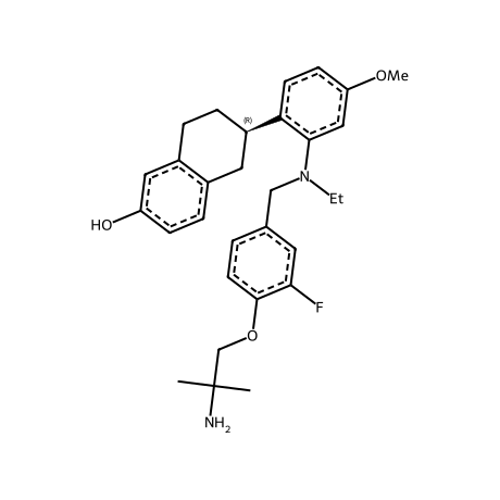 CCN(Cc1ccc(OCC(C)(C)N)c(F)c1)c1cc(OC)ccc1[C@@H]1CCc2cc(O)ccc2C1